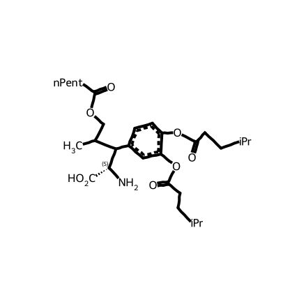 CCCCCC(=O)OCC(C)C(c1ccc(OC(=O)CCC(C)C)c(OC(=O)CCC(C)C)c1)[C@H](N)C(=O)O